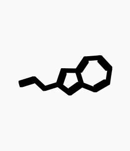 C=CCc1cc2cccccc-2c1